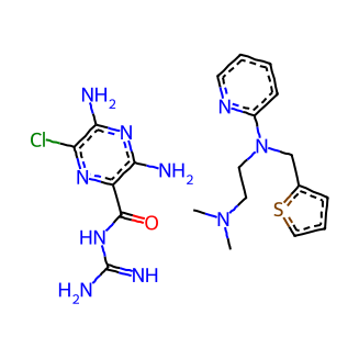 CN(C)CCN(Cc1cccs1)c1ccccn1.N=C(N)NC(=O)c1nc(Cl)c(N)nc1N